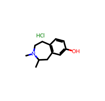 CC1Cc2cc(O)ccc2CCN1C.Cl